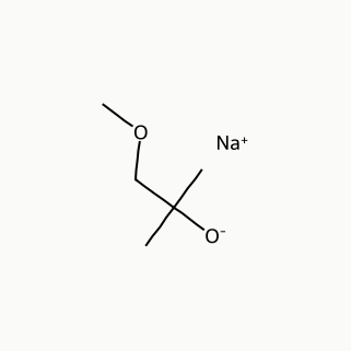 COCC(C)(C)[O-].[Na+]